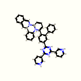 C1=CB2N3C=c4ccccc4=CB3c3ccccc3N2C(c2ccc(-c3nc(-c4cccnc4)nc(-c4cccnc4)n3)cc2-c2ccccc2)=C1